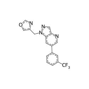 FC(F)(F)c1cccc(-c2cnc3cnn(Cc4cocn4)c3c2)c1